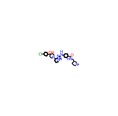 CN1CCCC(CNC(=O)c2ccc(Nc3nc4c(N5CCC(O)(c6ccc(Cl)cc6)CC5)cccn4n3)cc2)C1